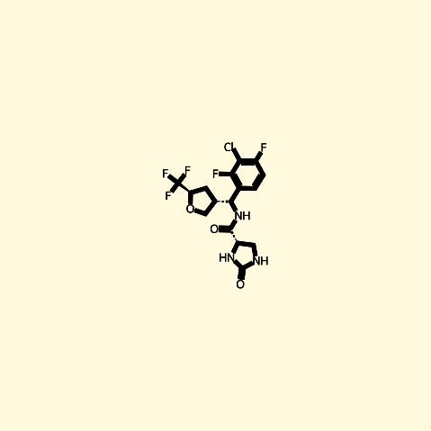 O=C1NC[C@@H](C(=O)NC(c2ccc(F)c(Cl)c2F)[C@@H]2CO[C@@H](C(F)(F)F)C2)N1